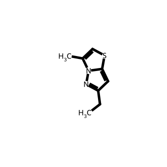 CCc1cc2scc(C)n2n1